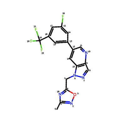 Cc1noc(Cn2ncc3ncc(-c4cc(F)cc(C(F)(F)F)c4)cc32)n1